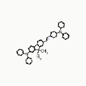 CC1(C)c2cc(/C=C/c3ccc(N(c4ccccc4)c4ccccc4)cc3)ccc2-c2ccc(N(c3ccccc3)c3ccccc3)cc21